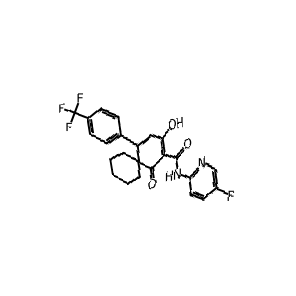 O=C(Nc1ccc(F)cn1)C1=C(O)CC(c2ccc(C(F)(F)F)cc2)C2(CCCCC2)C1=O